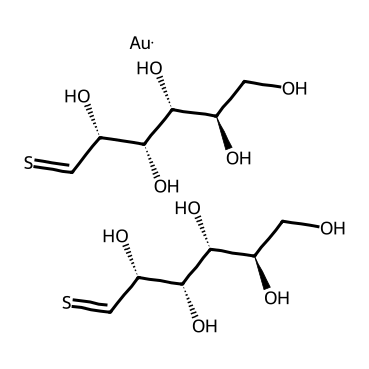 OC[C@@H](O)[C@@H](O)[C@H](O)[C@@H](O)C=S.OC[C@@H](O)[C@@H](O)[C@H](O)[C@@H](O)C=S.[Au]